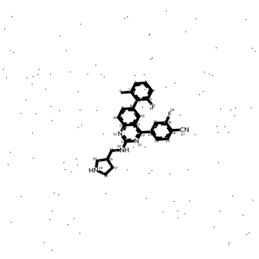 Cc1cccc(F)c1-c1ccc2nc(NCC3CCNC3)nc(-c3ccc(C#N)c(F)c3)c2c1